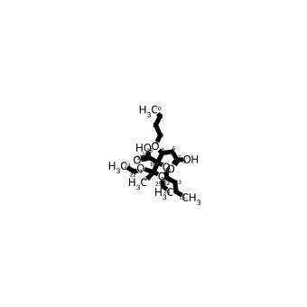 CCCCOC(CC(=O)O)C(OCCCC)(C(=O)O)C(C)(OCC)OCC